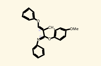 COc1ccc(OC(=N\c2ccccc2)/C(C)=C/Oc2ccccc2)cc1